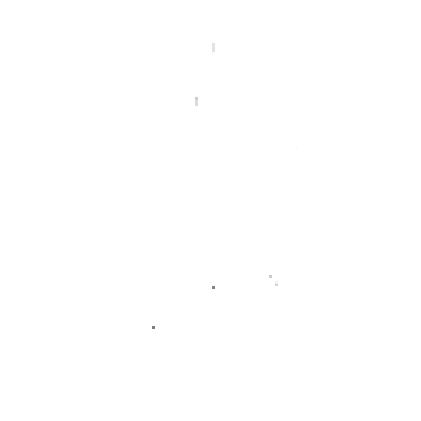 C=CC(=O)N1CCN(c2nc(OC)nc3c(Oc4c(C)c(Cl)cc(N)c4C=N)cccc23)CC1